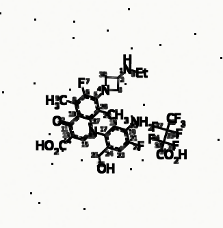 CCNC1CN(c2c(F)c(C)c3c(=O)c(C(=O)O)cn(-c4cc(N)c(F)cc4CO)c3c2C)C1.O=C(O)C(F)(F)C(F)(F)C(F)(F)F